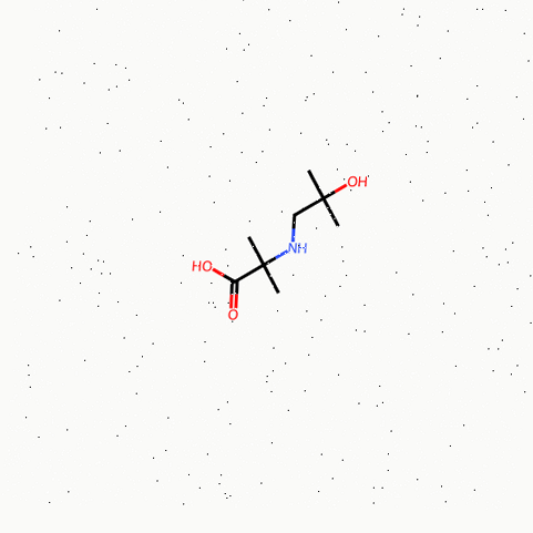 CC(C)(O)CNC(C)(C)C(=O)O